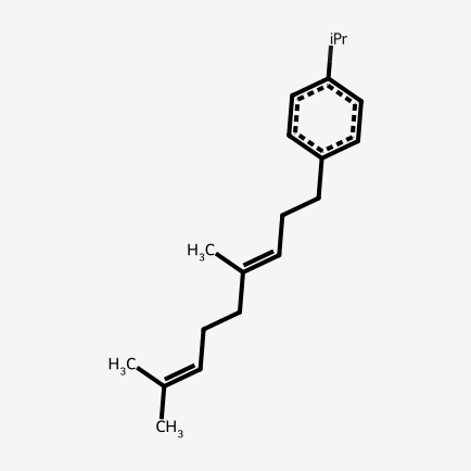 CC(C)=CCC/C(C)=C/CCc1ccc(C(C)C)cc1